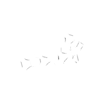 c1ccc2c(c1)Oc1cc(Nc3ccc4c(c3)Sc3ccccc3S4)ccc1C21c2ccccc2-c2ccccc21